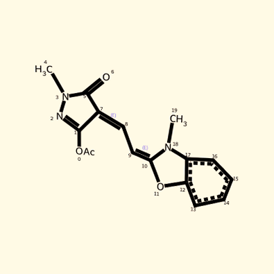 CC(=O)OC1=NN(C)C(=O)/C1=C/C=C1/Oc2ccccc2N1C